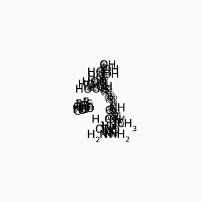 CCn1c(CNC(=O)c2nc(Cl)c(N)nc2N)[n+](CC)c2ccc(C(=O)NCCc3ccc(-c4ccc(CCN(C[C@H](O)[C@@H](O)[C@H](O)[C@H](O)CO)C[C@H](O)[C@@H](O)[C@H](O)[C@H](O)CO)cc4)cc3)cc21.O=C(O)C(F)(F)F.O=C([O-])C(F)(F)F